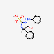 COS(=O)(=O)C1=N[C@@](C)(c2ccccc2)C(=O)N1Nc1ccccc1